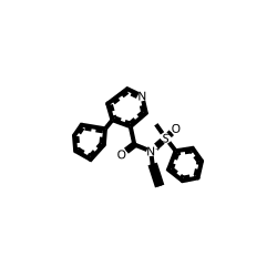 C#C[N+](C(=O)c1cnccc1-c1ccccc1)=S(C)(=O)c1ccccc1